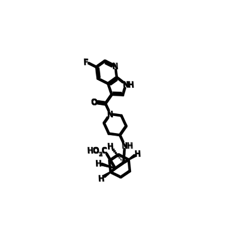 O=C(O)[C@H]1[C@H]2CC[C@H](CC2)[C@@H]1NC1CCN(C(=O)c2c[nH]c3ncc(F)cc23)CC1